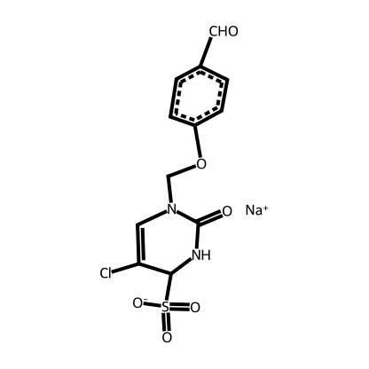 O=Cc1ccc(OCN2C=C(Cl)C(S(=O)(=O)[O-])NC2=O)cc1.[Na+]